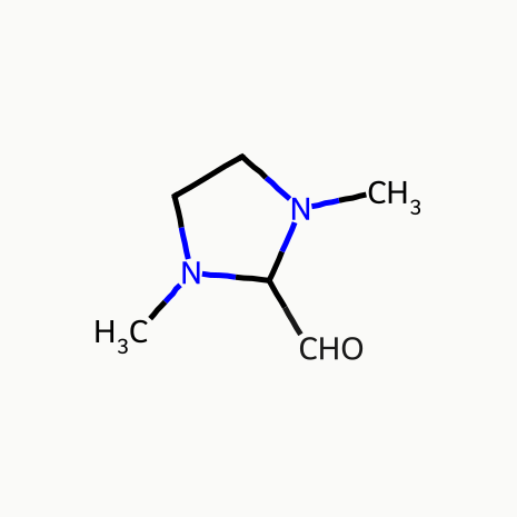 CN1CCN(C)C1C=O